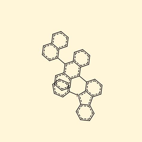 c1ccc(-n2c3ccccc3c3cccc(-c4c5ccccc5c(-c5cccc6ccccc56)c5ccccc45)c32)cc1